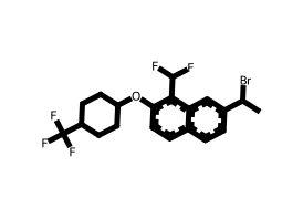 CC(Br)c1ccc2ccc(OC3CCC(C(F)(F)F)CC3)c(C(F)F)c2c1